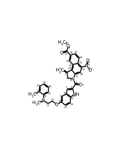 C=C1CN(C(=O)c2cc3cc(OCCN(C)c4ccccc4C)ccc3[nH]2)c2cc([N+](=O)[O-])c3ccc(C(=O)OC)cc3c21